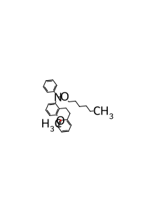 CCCCCCON(c1ccccc1)c1cccc(OC)c1CCc1ccccc1